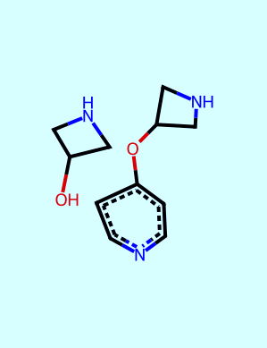 OC1CNC1.c1cc(OC2CNC2)ccn1